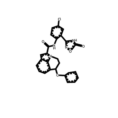 O=C(Nc1ccc(Cl)cc1-c1noc(=O)[nH]1)c1cc2cccc3c2n1CCC3Oc1ccccc1